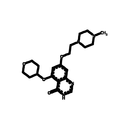 CN1CCN(CCOc2cc(OC3CCOCC3)c3c(=O)[nH]cnc3c2)CC1